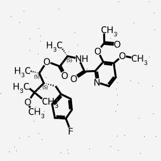 COc1ccnc(C(=O)N[C@@H](C)C(=O)O[C@@H](C)[C@H](Cc2ccc(F)cc2)C(C)(C)OC)c1OC(C)=O